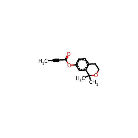 CC#CC(=O)Oc1ccc2c(c1)C(C)(C)OCC2